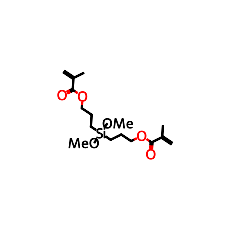 C=C(C)C(=O)OCCC[Si](CCCOC(=O)C(=C)C)(OC)OC